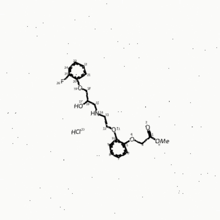 COC(=O)COc1ccccc1OCCNCC(O)COc1ccccc1F.Cl